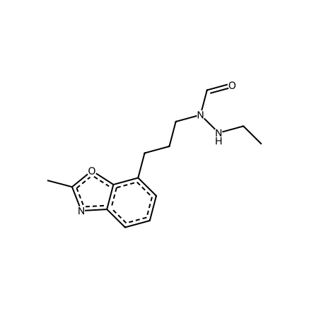 CCNN(C=O)CCCc1cccc2nc(C)oc12